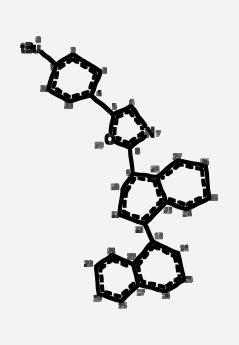 CC(C)(C)c1ccc(-c2cnc(-c3ccc(-c4cccc5ccccc45)c4ccccc34)o2)cc1